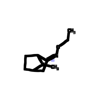 CCO/N=C1/CC2CCC1N2C